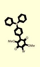 COC1=C(Br)C(=O)C(OC)=C(c2ccc(N(c3ccccc3)c3ccccc3)cc2)C1=O